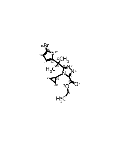 CCOC(=O)c1nnc(C(C)(C)c2ccc(Br)s2)n1C1CC1